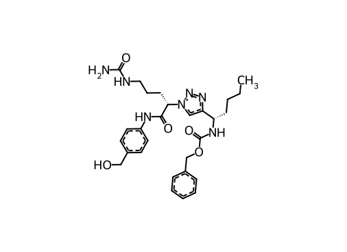 CCCC[C@H](NC(=O)OCc1ccccc1)c1cn([C@@H](CCCNC(N)=O)C(=O)Nc2ccc(CO)cc2)nn1